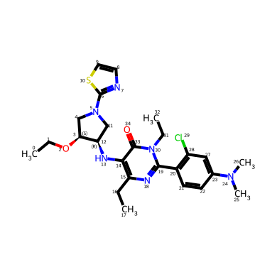 CCO[C@H]1CN(c2nccs2)C[C@H]1Nc1c(CC)nc(-c2ccc(N(C)C)cc2Cl)n(CC)c1=O